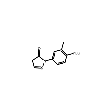 CCCCc1ccc(N2N=CCC2=O)cc1C